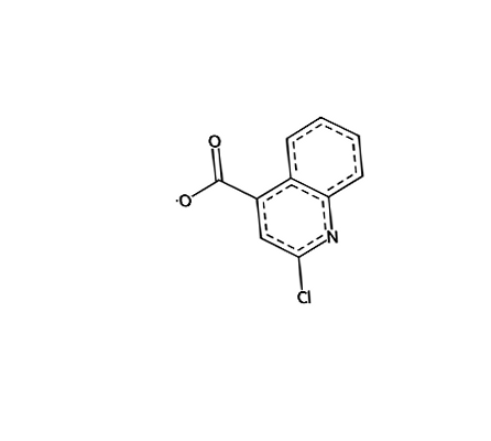 [O]C(=O)c1cc(Cl)nc2ccccc12